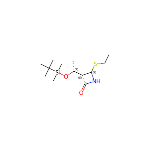 CCS[C@H]1NC(=O)[C@@H]1[C@@H](C)O[Si](C)(C)C(C)(C)C